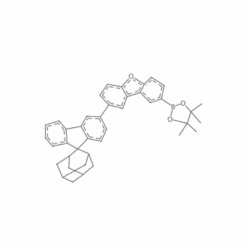 CC1(C)OB(c2ccc3oc4ccc(-c5ccc6c(c5)-c5ccccc5C65C6CC7CC(C6)CC5C7)cc4c3c2)OC1(C)C